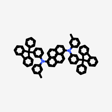 Cc1cccc(N(c2cccc(C3(c4ccccc4)c4ccccc4-c4ccccc43)c2)c2ccc3ccc4c(N(c5cccc(C)c5)c5cccc(C6(c7ccccc7)c7ccccc7-c7ccccc76)c5)ccc5ccc2c3c54)c1